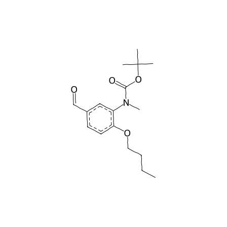 CCCCOc1ccc(C=O)cc1N(C)C(=O)OC(C)(C)C